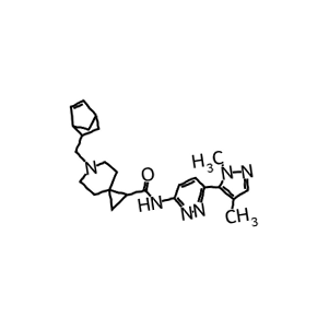 Cc1cnn(C)c1-c1ccc(NC(=O)C2CC23CCN(CC2CC4C=CC2C4)CC3)nn1